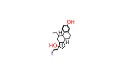 CCC1C[C@@]2(C)[C@@H](CC[C@]2(O)C=CI)[C@@H]2CCc3cc(O)ccc3[C@@H]12